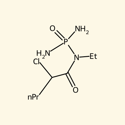 CCCC(Cl)C(=O)N(CC)P(N)(N)=O